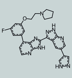 Fc1cc(OCCN2CCCC2)cc(-c2ccnc3[nH]c(-c4n[nH]c5ncc(-c6cn[nH]c6)cc45)nc23)c1